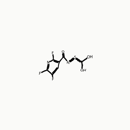 O=C(N=S=C(O)O)c1cc(F)c(F)nc1F